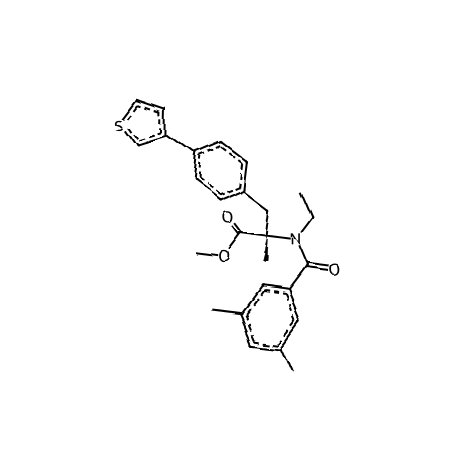 CCN(C(=O)c1cc(C)cc(C)c1)[C@@](C)(Cc1ccc(-c2ccsc2)cc1)C(=O)OC